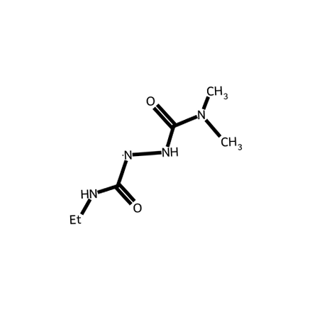 CCNC(=O)[N]NC(=O)N(C)C